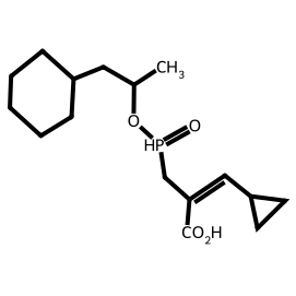 CC(CC1CCCCC1)O[PH](=O)CC(=CC1CC1)C(=O)O